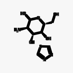 N[C@H]1C(O)O[C@H](CO)[C@@H](O)[C@@H]1O.c1nncs1